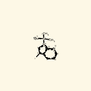 CC(C)(C)S(C)(C)n1cc(I)c2cccnc21